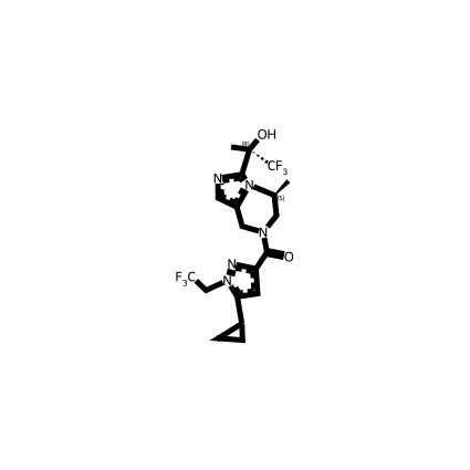 C[C@H]1CN(C(=O)c2cc(C3CC3)n(CC(F)(F)F)n2)Cc2cnc([C@@](C)(O)C(F)(F)F)n21